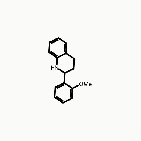 COc1ccccc1C1CCc2ccccc2N1